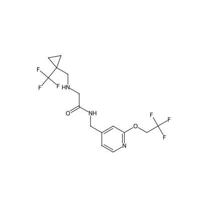 O=C(CNCC1(C(F)(F)F)CC1)NCc1ccnc(OCC(F)(F)F)c1